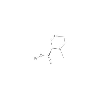 CC(C)OC(=O)[C@H]1COCCN1C